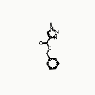 Cn1cc(C(=O)OCc2ccccc2)nn1